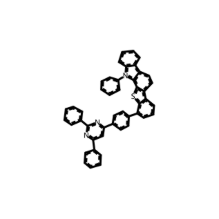 c1ccc(-c2cc(-c3ccc(-c4cccc5c4sc4c5ccc5c6ccccc6n(-c6ccccc6)c54)cc3)nc(-c3ccccc3)n2)cc1